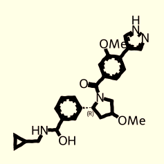 COc1cc(C(=O)N2CC(OC)C[C@@H]2c2cccc(C(O)NCC3CC3)c2)ccc1-c1cn[nH]c1